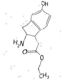 CCOC(=O)CC1c2ccc(O)cc2CC1N